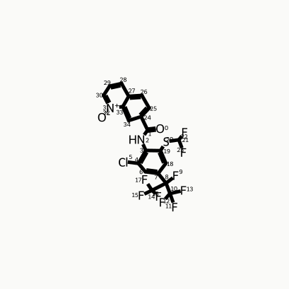 O=C(Nc1c(Cl)cc(C(F)(C(F)(F)F)C(F)(F)F)cc1SC(F)F)c1ccc2ccc[n+]([O-])c2c1